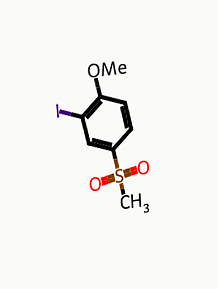 COc1ccc(S(C)(=O)=O)cc1I